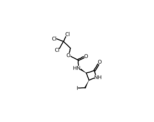 O=C(N[C@H]1C(=O)N[C@H]1CI)OCC(Cl)(Cl)Cl